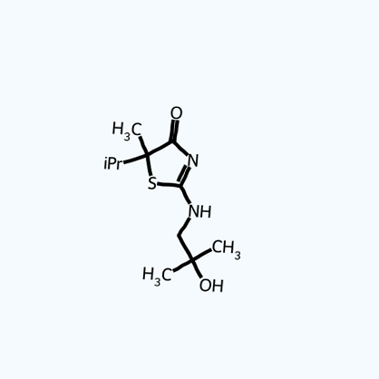 CC(C)C1(C)SC(NCC(C)(C)O)=NC1=O